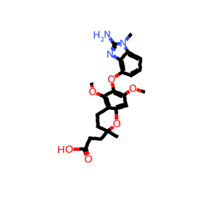 COc1cc2c(c(OC)c1Oc1cccc3c1nc(N)n3C)CCC(C)(CCC(=O)O)O2